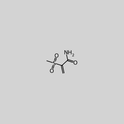 C=C(C(N)=O)S(C)(=O)=O